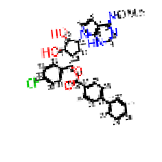 CO/N=c1\nc[nH]c2c1ccn2[C@@H]1C[C@H](C(OC(=O)c2ccc(-c3ccccc3)cc2)c2ccc(Cl)cc2)[C@@H](O)[C@H]1O